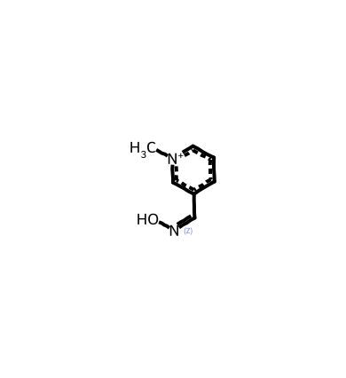 C[n+]1cccc(/C=N\O)c1